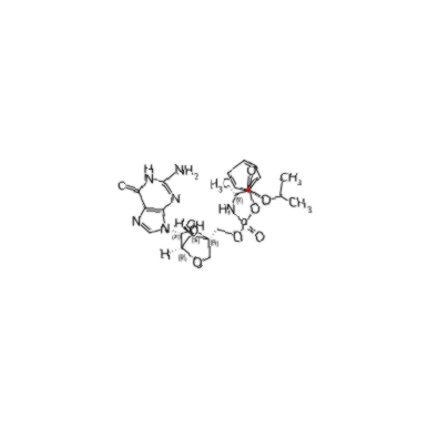 CC(C)OC(=O)[C@@H](C)NP(=O)(OC[C@@]12CO[C@@H]([C@H](n3cnc4c(=O)[nH]c(N)nc43)O1)[C@@H]2O)Oc1ccccc1